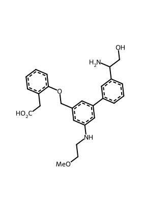 COCCNc1cc(COc2ccccc2CC(=O)O)cc(-c2cccc(C(N)CO)c2)c1